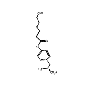 COCCOCCC(=O)Oc1ccc(C[C@H](N)C(=O)O)cc1